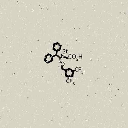 CCN(CC(=O)O)[C@H](COCc1cc(C(F)(F)F)cc(C(F)(F)F)c1)C(c1ccccc1)c1ccccc1